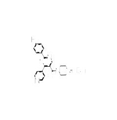 CCCCN1CCN(C(=O)c2cnc(-c3ccc(F)cc3)nc2-c2ccncc2)CC1